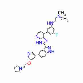 CN(C)CCNc1cc(F)cc(-c2ccnc3[nH]c(-c4n[nH]c5ccc(-c6cncc(OCCN7CCCC7)c6)cc45)nc23)c1